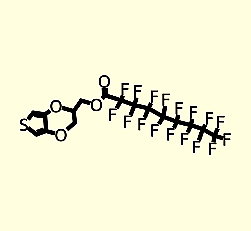 O=C(OCC1COc2cscc2O1)C(F)(F)C(F)(F)C(F)(F)C(F)(F)C(F)(F)C(F)(F)C(F)(F)C(F)(F)F